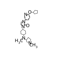 CN1CCC(N(C)C2CCC(n3ccn(-c4ccc(OC5CCCC5)nc4)c3=O)CC2)C1